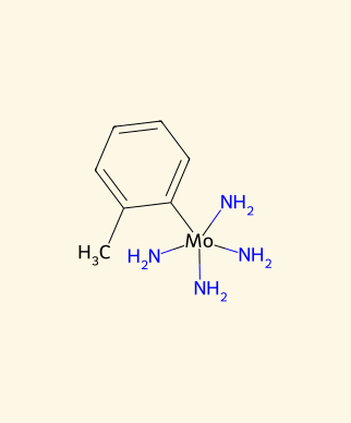 Cc1cccc[c]1[Mo]([NH2])([NH2])([NH2])[NH2]